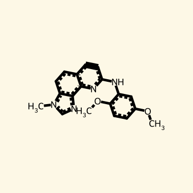 COc1ccc(OC)c(Nc2c#cc3ccc4c(ncn4C)c3n2)c1